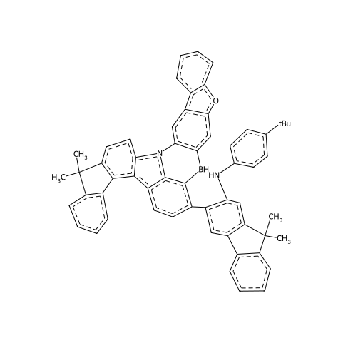 CC(C)(C)c1ccc(Nc2cc3c(cc2-c2ccc4c5c6c(ccc5n5c4c2Bc2cc4oc7ccccc7c4cc2-5)C(C)(C)c2ccccc2-6)-c2ccccc2C3(C)C)cc1